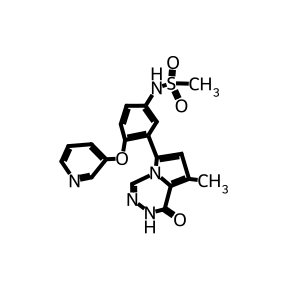 Cc1cc(-c2cc(NS(C)(=O)=O)ccc2Oc2cccnc2)n2cn[nH]c(=O)c12